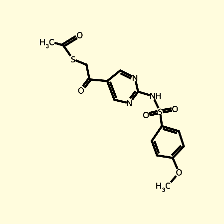 COc1ccc(S(=O)(=O)Nc2ncc(C(=O)CSC(C)=O)cn2)cc1